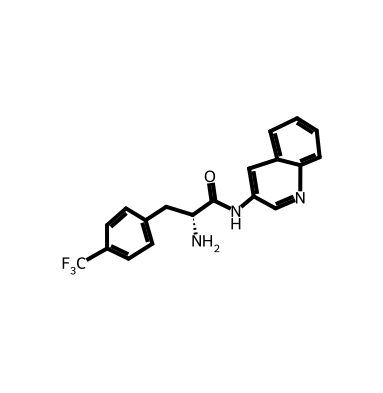 N[C@H](Cc1ccc(C(F)(F)F)cc1)C(=O)Nc1cnc2ccccc2c1